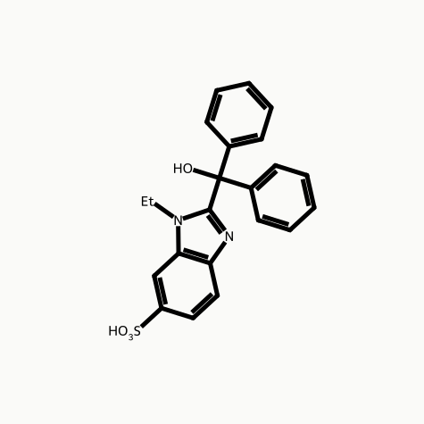 CCn1c(C(O)(c2ccccc2)c2ccccc2)nc2ccc(S(=O)(=O)O)cc21